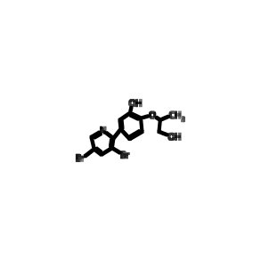 CC(CO)Oc1ccc(-c2ncc(Br)cc2Br)cc1O